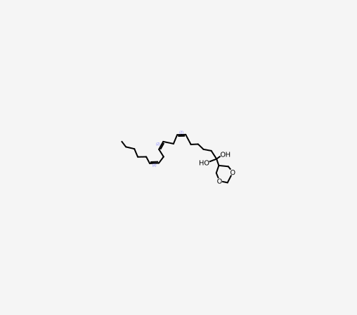 CCCCC/C=C\C/C=C\C/C=C\CCCCC(O)(O)C1COCOC1